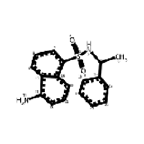 CC(NS(=O)(=O)c1cccc2c(N)cccc12)c1ccccc1